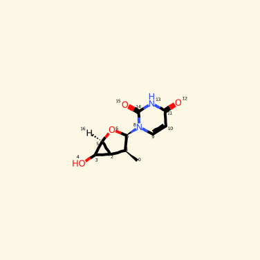 C[C@H]1C2C(O)[C@H]2O[C@H]1n1ccc(=O)[nH]c1=O